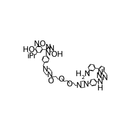 CC(C)c1cc(-c2nnc(O)n2-c2ccc(CN3CCN(C(=O)CCOCCOCCN4CCN(c5ccc(Nc6ncc7ccc(-c8cccc(N)c8)n7n6)cc5)CC4)CC3)cc2)c(N=O)cc1O